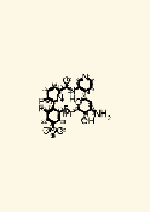 CC(C)[C@H]1O[C@H](c2ccncc2NC(=O)c2ccc(F)c(-c3c(F)cc(S(C)(=O)=O)cc3F)n2)C[C@@H](N)[C@@H]1O